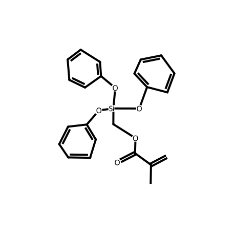 C=C(C)C(=O)OC[Si](Oc1ccccc1)(Oc1ccccc1)Oc1ccccc1